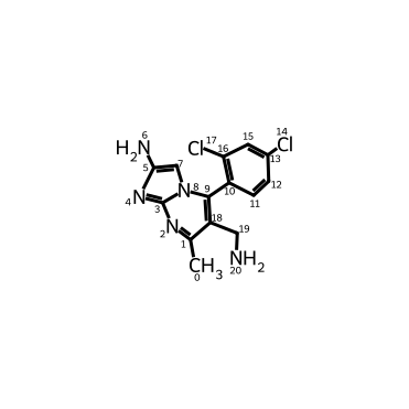 Cc1nc2nc(N)cn2c(-c2ccc(Cl)cc2Cl)c1CN